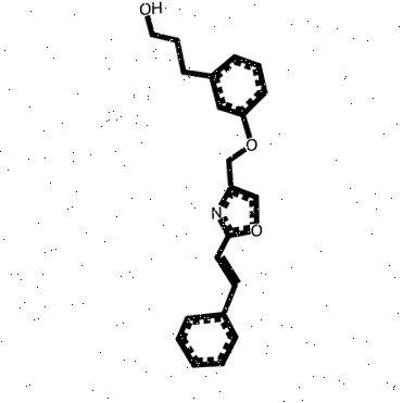 OCCCc1cccc(OCc2coc(/C=C/c3ccccc3)n2)c1